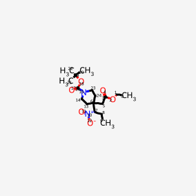 CCOC(=O)CC1(C(CC)[N+](=O)[O-])CCN(C(=O)OC(C)(C)C)CC1